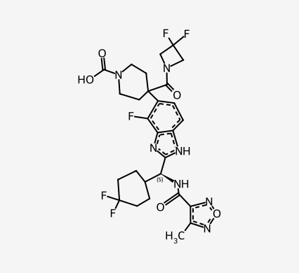 Cc1nonc1C(=O)N[C@H](c1nc2c(F)c(C3(C(=O)N4CC(F)(F)C4)CCN(C(=O)O)CC3)ccc2[nH]1)C1CCC(F)(F)CC1